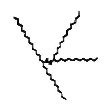 CCCCCCCCCCCCCCCC(CCCCCCCCCCCC)SSC(CCCCCCCCCCCC)CCCCCCCCCCCCCCC